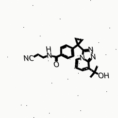 CC(C)(O)c1cccn2c(C3(c4ccc(C(=O)NCCC#N)cc4)CC3)nnc12